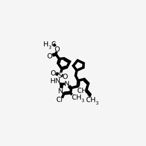 C/C=C/C=C\C(CC1CCCC1)=C(/C)c1nc(NS(=O)(=O)c2cccc(C(=O)OC)c2)nc(Cl)c1C